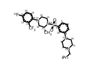 CC(C)CN1CCN(c2cccc(S(=O)(=O)N3CCN(c4ccc(F)cc4C(F)(F)F)C[C@H]3C)c2)CC1